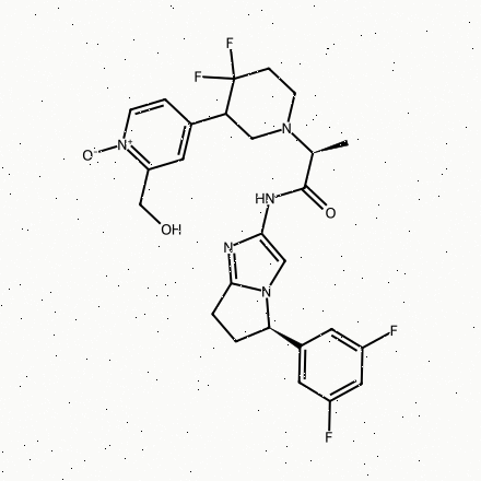 C[C@@H](C(=O)Nc1cn2c(n1)CC[C@@H]2c1cc(F)cc(F)c1)N1CCC(F)(F)C(c2cc[n+]([O-])c(CO)c2)C1